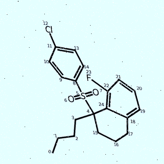 CCCCC1(S(=O)(=O)c2ccc(Cl)cc2)CCCc2cccc(F)c21